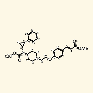 COC(=O)/C=C/c1ccc(OCCN2CCC(N(C(=O)OC(C)(C)C)[C@@H]3C[C@H]3c3ccccc3)CC2)cc1